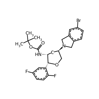 CC(C)(C)OC(=O)N[C@@H]1C[C@@H](N2Cc3ccc(Br)cc3C2)CO[C@@H]1c1cc(F)ccc1F